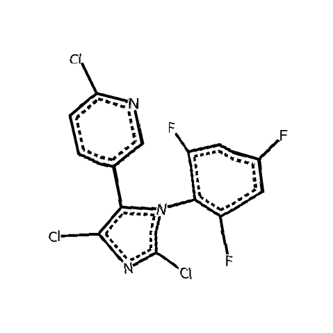 Fc1cc(F)c(-n2c(Cl)nc(Cl)c2-c2ccc(Cl)nc2)c(F)c1